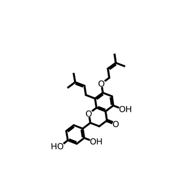 CC(C)=CCOc1cc(O)c2c(c1CC=C(C)C)OC(c1ccc(O)cc1O)CC2=O